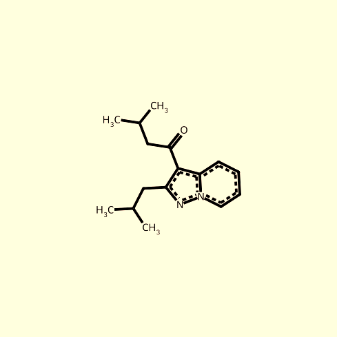 CC(C)CC(=O)c1c(CC(C)C)nn2ccccc12